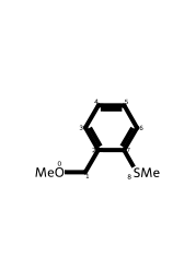 COCc1ccccc1SC